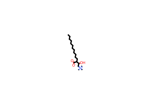 CCCCCCCCCCCCC(C(=O)[O-])C(O)C[N+](C)(C)C